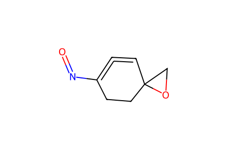 O=NC1=C=CC2(CC1)CO2